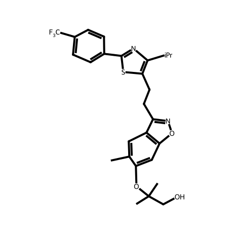 Cc1cc2c(CCc3sc(-c4ccc(C(F)(F)F)cc4)nc3C(C)C)noc2cc1OC(C)(C)CO